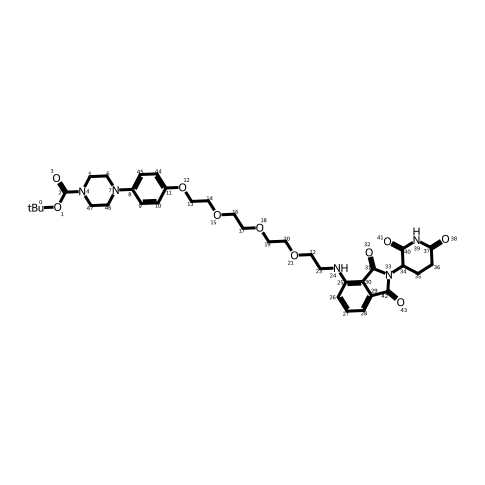 CC(C)(C)OC(=O)N1CCN(c2ccc(OCCOCCOCCOCCNc3cccc4c3C(=O)N(C3CCC(=O)NC3=O)C4=O)cc2)CC1